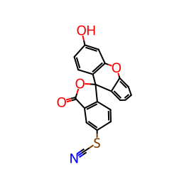 N#CSc1ccc2c(c1)C(=O)OC21c2ccccc2Oc2cc(O)ccc21